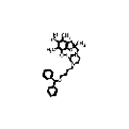 CCNc1c(C)c(C)c2c(c1C)CC(C)(CN1CCN(CCCCOC(c3ccccc3)c3ccccc3)CC1)O2